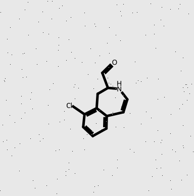 O=CC1Cc2c(Cl)cccc2C=CN1